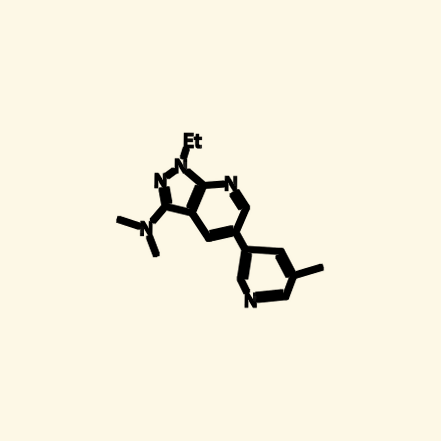 CCn1nc(N(C)C)c2cc(-c3cncc(C)c3)cnc21